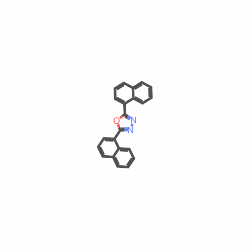 c1ccc2c(-c3nnc(-c4cccc5ccccc45)o3)cccc2c1